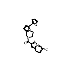 O=C(c1cc2ccc(Cl)cn2n1)N1CCn2c(ccc2-c2ccco2)C1